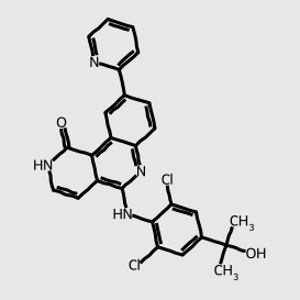 CC(C)(O)c1cc(Cl)c(Nc2nc3ccc(-c4ccccn4)cc3c3c(=O)[nH]ccc23)c(Cl)c1